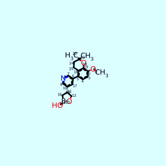 COc1ccc(-c2cncc([C@@H]3COB(O)C3)c2)c2c1OC(C)(C)CC2